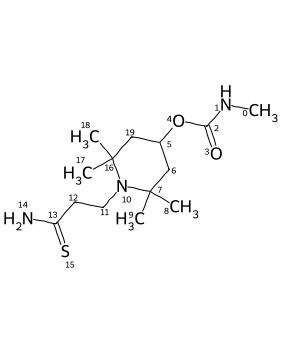 CNC(=O)OC1CC(C)(C)N(CCC(N)=S)C(C)(C)C1